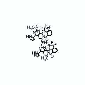 CC(C)c1nc2c(c(-c3ccn[nH]3)n1)CC(C)N(C(=O)c1cccc(C(F)(F)F)c1Cl)C2.CCc1nc2c(c(-c3ccn[nH]3)n1)C[C@H](C)N(C(=O)c1cccc(C(F)(F)F)c1Cl)C2